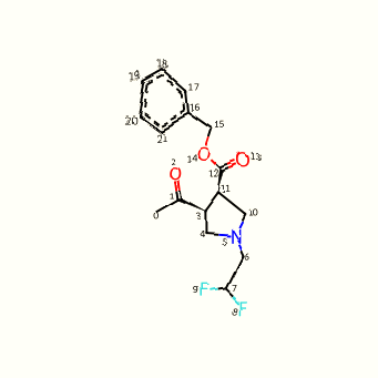 CC(=O)[C@@H]1CN(CC(F)F)C[C@@H]1C(=O)OCc1ccccc1